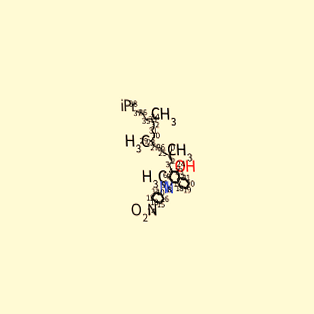 CC(=CCc1c(C)c(N=Nc2ccc([N+](=O)[O-])cc2)c2ccccc2c1O)CCCC(C)CCCC(C)CCCC(C)C